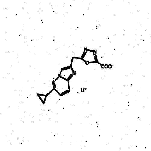 O=C([O-])c1nnc(Cc2cn3cc(C4CC4)ccc3n2)o1.[Li+]